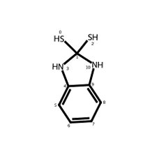 SC1(S)Nc2ccccc2N1